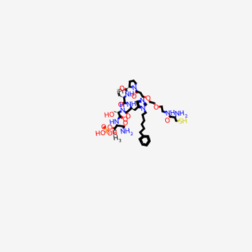 CC(C)C[C@H](NC(=O)[C@@H]1CCCN1C(=O)CCOCCOCCNC(=O)[C@@H](N)CS)C(=O)N[C@@H](Cc1cncn1CCCCCCc1ccccc1)C(=O)N[C@@H](CO)C(=O)N[C@H](C(N)=O)[C@@H](C)OP(=O)(O)O